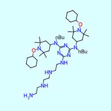 CCCCN(c1nc(NCCNCCNCCN)nc(N(CCCC)C2CC(C)(C)N(OC3CCCCC3)C(C)(C)C2)n1)C1CC(C)(C)N(OC2CCCCC2)C(C)(C)C1